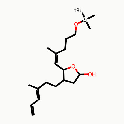 C=CC=C(C)CCC1CC(O)OC1C=C(C)CCCO[Si](C)(C)C(C)(C)C